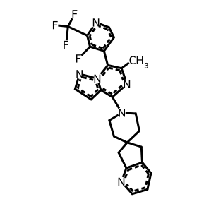 Cc1nc(N2CCC3(CC2)Cc2cccnc2C3)c2ccnn2c1-c1ccnc(C(F)(F)F)c1F